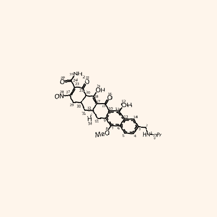 CCCNCc1ccc2c(OC)c3c(c(O)c2c1)C(=O)C1=C(O)C2C(=O)C(C(N)=O)=C(N=O)CC2C[C@@H]1C3